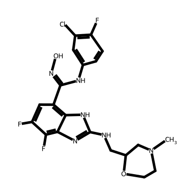 CN1CCOC(CNc2nc3c(F)c(F)cc(/C(=N/O)Nc4ccc(F)c(Cl)c4)c3[nH]2)C1